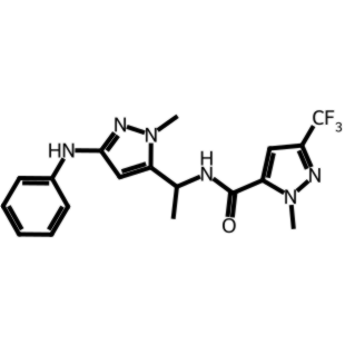 CC(NC(=O)c1cc(C(F)(F)F)nn1C)c1cc(Nc2ccccc2)nn1C